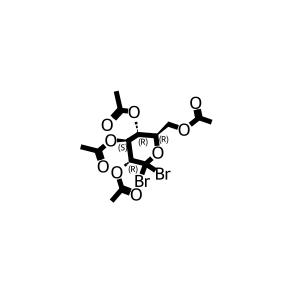 CC(=O)OC[C@H]1OC(Br)(Br)[C@H](OC(C)=O)[C@@H](OC(C)=O)[C@@H]1OC(C)=O